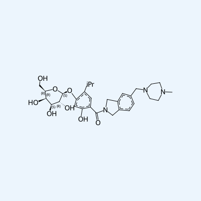 CC(C)c1cc(C(=O)N2Cc3ccc(CN4CCN(C)CC4)cc3C2)c(O)cc1O[C@@H]1O[C@H](CO)[C@H](O)[C@H](O)[C@H]1O